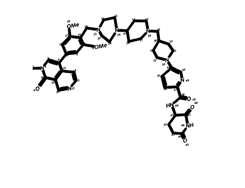 COc1cc(-c2cn(C)c(=O)c3cnccc23)cc(OC)c1CN1CCN(C2CCN(CC3CCN(c4ccc(C(=O)NC5CCC(=O)NC5=O)nc4)CC3)CC2)CC1